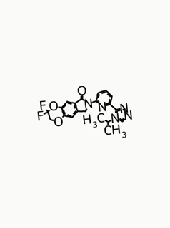 CC(C)n1cnnc1-c1cccc(N2Cc3cc4c(cc3C2=O)OC(F)(F)CO4)n1